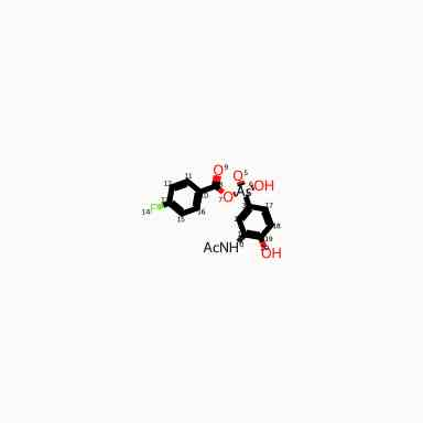 CC(=O)Nc1cc([As](=O)(O)OC(=O)c2ccc(F)cc2)ccc1O